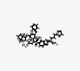 CC(C)CN(C[C@@H](O)[C@H](Cc1ccccc1)NC(=O)O[C@H]1CO[C@H]2OCC[C@H]21)S(=O)(=O)c1ccc2nc(N(C)CCCN3CCCC3)sc2c1